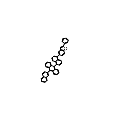 c1ccc(-c2cc3cc(-c4cccc5c(-c6c7ccccc7c(-c7ccc8ccccc8c7)c7ccccc67)cccc45)ccc3o2)cc1